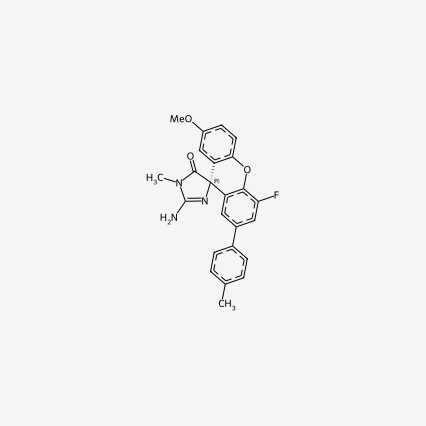 COc1ccc2c(c1)[C@@]1(N=C(N)N(C)C1=O)c1cc(-c3ccc(C)cc3)cc(F)c1O2